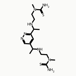 CC(NCCN(C)C(N)=S)c1cnnc(C(C)NCCN(C)C(N)=S)c1